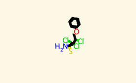 NC(=S)C(Cl)(Cl)C(Cl)COc1ccccc1